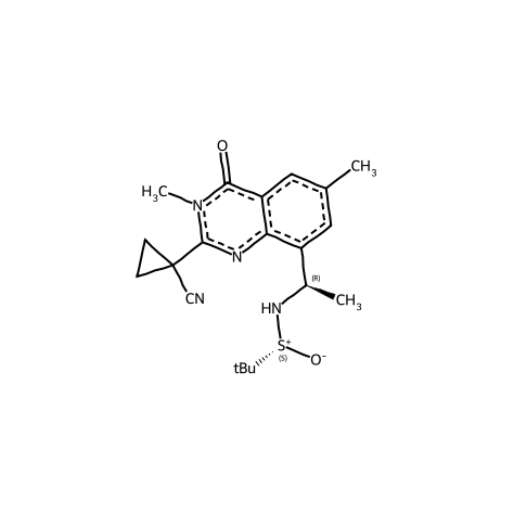 Cc1cc([C@@H](C)N[S@+]([O-])C(C)(C)C)c2nc(C3(C#N)CC3)n(C)c(=O)c2c1